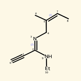 C#C/C(=N/C/C(C)=C\C)NCC